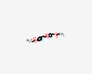 C=CC(=O)OCCC1=CC[C@H](OC(O)/C=C/c2ccc(OC(=O)C=C)cc2F)C=C1